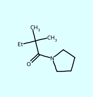 CCC(C)(C)C(=O)N1CCCC1